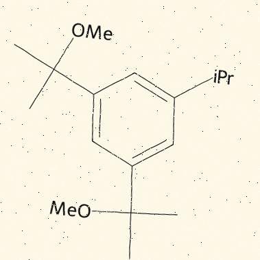 COC(C)(C)c1cc(C(C)C)cc(C(C)(C)OC)c1